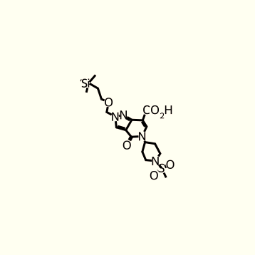 C[Si](C)(C)CCOCn1cc2c(=O)n(C3CCN(S(C)(=O)=O)CC3)cc(C(=O)O)c2n1